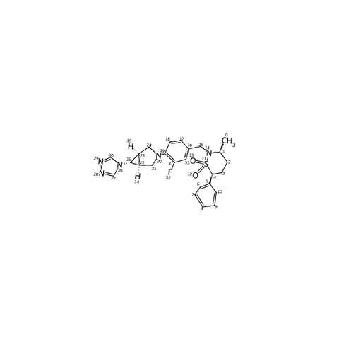 C[C@H]1CC[C@@H](c2ccccc2)S(=O)(=O)N1Cc1ccc(N2C[C@@H]3[C@H](C2)[C@H]3n2cnnc2)c(F)c1